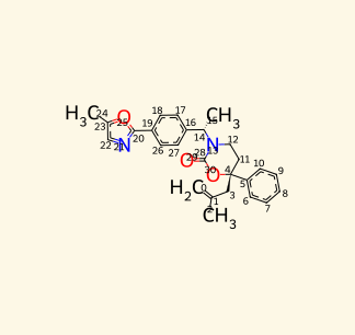 C=C(C)C[C@]1(c2ccccc2)CCN([C@@H](C)c2ccc(-c3ncc(C)o3)cc2)C(=O)O1